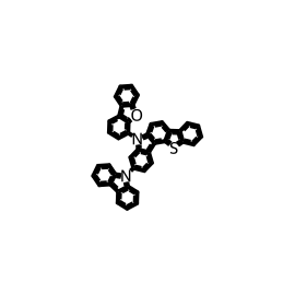 c1ccc2c(c1)oc1c(-n3c4cc(-n5c6ccccc6c6ccccc65)ccc4c4c5sc6ccccc6c5ccc43)cccc12